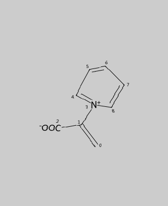 C=C(C(=O)[O-])[n+]1ccccc1